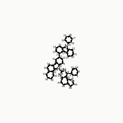 c1ccc(-c2nc(-n3c4ccc(-c5cccc6c5c5ccccc5n6-c5ccccc5)cc4c4ccc5ccccc5c43)nc3ccc4ccsc4c23)cc1